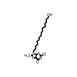 Cc1nc2c(Cl)nc(Cl)nc2n1CCCCCCCCCCCCCCCCO